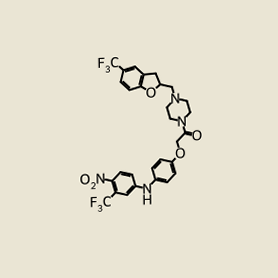 O=C(COc1ccc(Nc2ccc([N+](=O)[O-])c(C(F)(F)F)c2)cc1)N1CCN(CC2Cc3cc(C(F)(F)F)ccc3O2)CC1